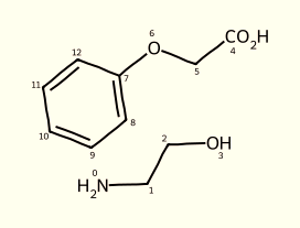 NCCO.O=C(O)COc1ccccc1